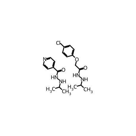 CC(C)NNC(=O)COc1ccc(Cl)cc1.CC(C)NNC(=O)c1ccncc1